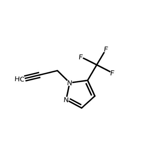 C#CCn1nccc1C(F)(F)F